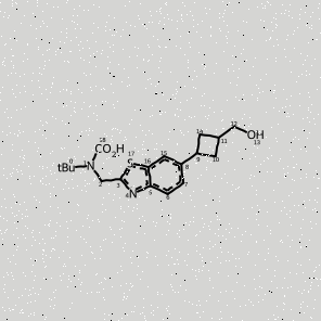 CC(C)(C)N(Cc1nc2ccc(C3CC(CO)C3)cc2s1)C(=O)O